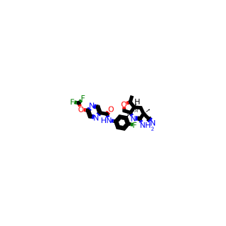 CC1OC[C@]2(c3cc(NC(=O)c4cnc(OC(F)F)cn4)ccc3F)N=C(N)[C@](C)(C#N)C[C@H]12